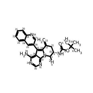 [2H]C1[C@@H](NC(=O)OC(C)(C)C)CC(=C)c2c(-c3cnc4ccccc4c3)c3c(N)ncnc3n21